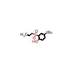 C=CCS(=O)(=O)c1cc(C(C)(C)C)ccc1O